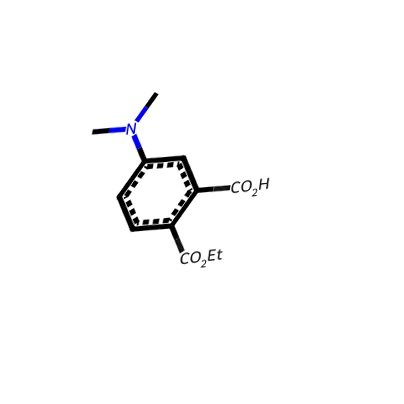 CCOC(=O)c1ccc(N(C)C)cc1C(=O)O